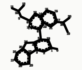 Cc1cc2c(c(-c3nc(CC(C)C)cc4ccc(C(C)C)cc34)c1)Cc1ccccc1-2